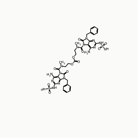 CCCS(=O)(=O)Nc1nc(N)c2c(n1)n(Cc1ccccc1)c(=O)n2C(=O)N(C)CCOC(=O)OCCN(C)C(=O)n1c(=O)n(Cc2ccccc2)c2nc(NS(=O)(=O)CCC)nc(N)c21